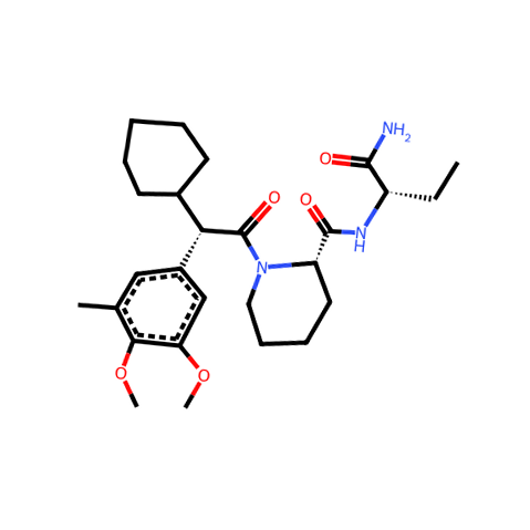 CC[C@H](NC(=O)[C@@H]1CCCCN1C(=O)[C@H](c1cc(C)c(OC)c(OC)c1)C1CCCCC1)C(N)=O